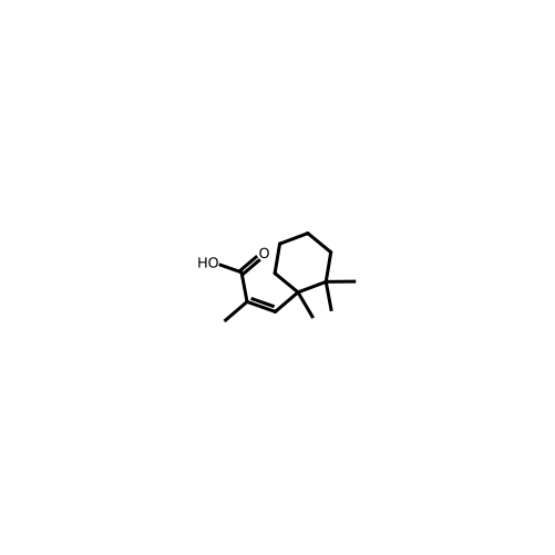 CC(=CC1(C)CCCCC1(C)C)C(=O)O